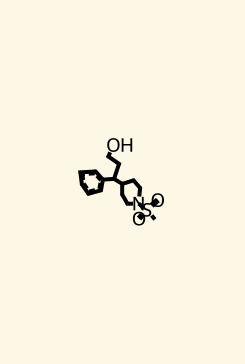 CS(=O)(=O)N1CCC(C(CCO)c2ccccc2)CC1